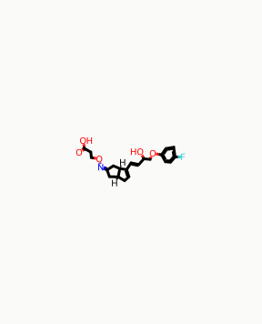 O=C(O)CCO/N=C1/C[C@H]2CC=C(C=CC(O)COc3ccc(F)cc3)[C@@H]2C1